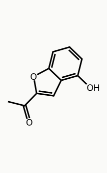 CC(=O)c1cc2c(O)cccc2o1